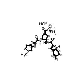 CN1CCc2nc(C(=O)N[C@@H]3CC(C(=O)N(C)C)CC3NC(=O)c3cc4cc(Cl)ccc4[nH]3)sc2C1.Cl